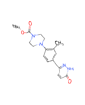 Cc1cc(-c2ccc(=O)[nH]n2)ccc1N1CCN(C(=O)OC(C)(C)C)CC1